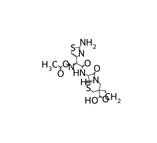 C=CC1(C(=O)O)CS[C@@H]2C(NC(=O)C(=NOC(C)=O)c3csc(N)n3)C(=O)N2C1